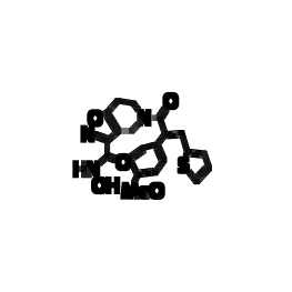 COc1ccc(/C(=C\c2cccs2)C(=O)N2CCc3onc(C(=O)NO)c3C2)cc1